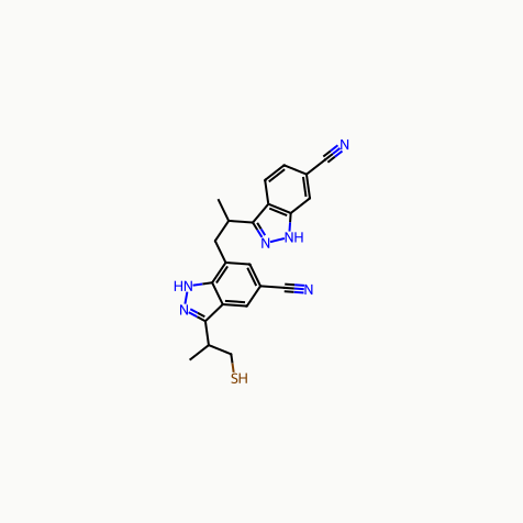 CC(Cc1cc(C#N)cc2c(C(C)CS)n[nH]c12)c1n[nH]c2cc(C#N)ccc12